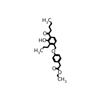 CCCCC(=O)c1ccc(COc2ccc(CC(=O)OCC)cc2)c(CCC)c1O